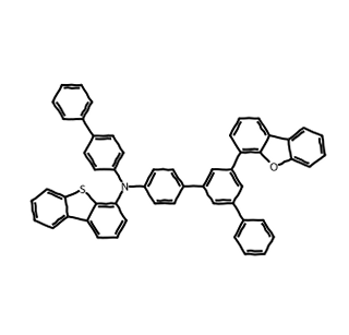 c1ccc(-c2ccc(N(c3ccc(-c4cc(-c5ccccc5)cc(-c5cccc6c5oc5ccccc56)c4)cc3)c3cccc4c3sc3ccccc34)cc2)cc1